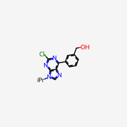 CC(C)n1cnc2c(-c3cccc(CO)c3)nc(Cl)nc21